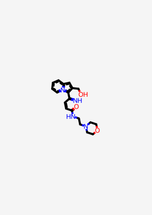 N=C(/C=C\C(=O)NCCN1CCOCC1)c1c(CO)cc2ccccn12